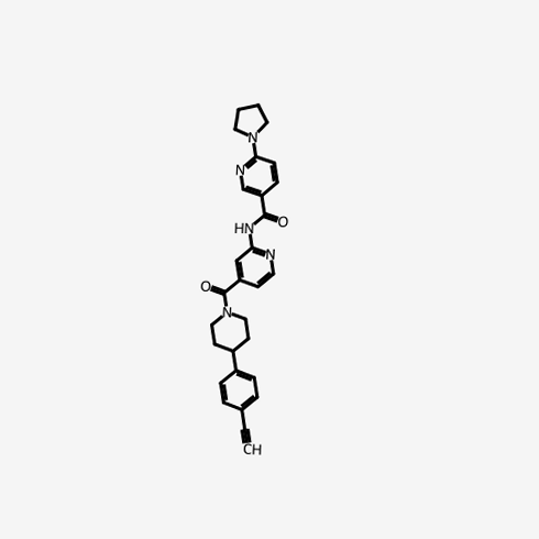 C#Cc1ccc(C2CCN(C(=O)c3ccnc(NC(=O)c4ccc(N5CCCC5)nc4)c3)CC2)cc1